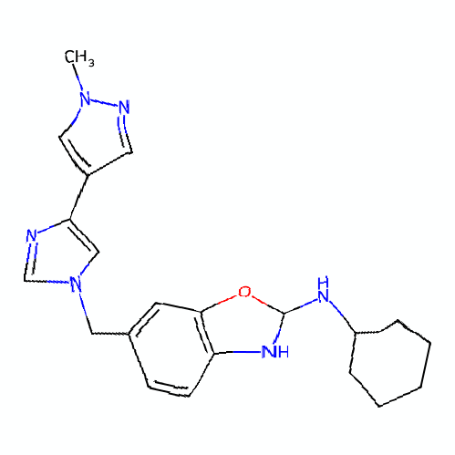 Cn1cc(-c2cn(Cc3ccc4c(c3)OC(NC3CCCCC3)N4)cn2)cn1